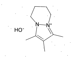 Cc1c(C)n2[n+](c1C)CCCC2.[OH-]